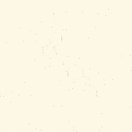 CCCCN1CCC(C(=O)Oc2cc(Cl)c(N)c3c2OCCO3)CC1